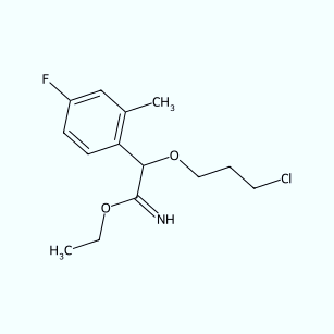 CCOC(=N)C(OCCCCl)c1ccc(F)cc1C